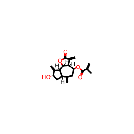 C=C(C)C(=O)O[C@H]1CC(=C)[C@@H]2C[C@H](O)C(=C)[C@@H]2[C@H]2OC(=O)C(=C)[C@@H]21